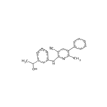 Cc1nc(Nc2cccc(C(C)O)c2)c(C#N)cc1-c1ccccc1